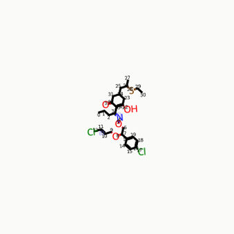 CCC/C(=N\OCC(OC/C=C/Cl)c1ccc(Cl)cc1)C1=C(O)CC(CC(C)SCC)CC1=O